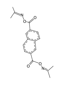 CC(C)=NOC(=O)c1ccc2cc(C(=O)ON=C(C)C)ccc2c1